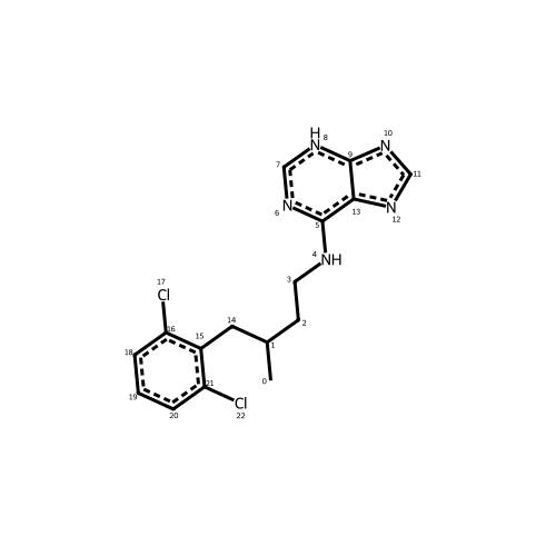 CC(CCNc1nc[nH]c2ncnc1-2)Cc1c(Cl)cccc1Cl